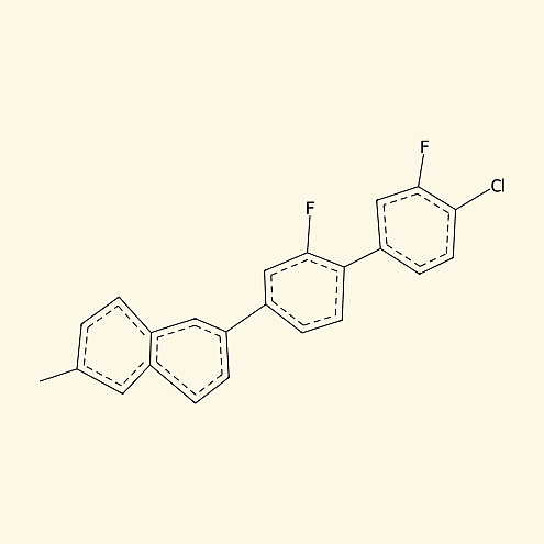 Cc1ccc2cc(-c3ccc(-c4ccc(Cl)c(F)c4)c(F)c3)ccc2c1